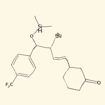 C[SiH](C)OC(c1ccc(C(F)(F)F)cc1)C(C=CC1CCCC(=O)C1)C(C)(C)C